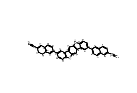 [C-]#[N+]c1ccc2cc(-c3ccc4oc5cc6c(cc5c4c3)oc3ccc(-c4ccc5c(c4)CCC(C#N)=C5)cc36)ccc2c1